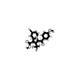 COC(=O)c1c(C(F)(F)F)c(C(=O)c2ccc(OC)cc2)n2ccc(C)cc12